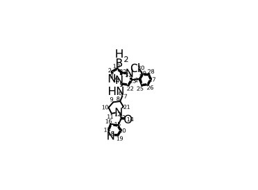 Bc1cnn2c(NCC3CCCN(C(=O)c4ccncc4)C3)cc(-c3ccccc3Cl)nc12